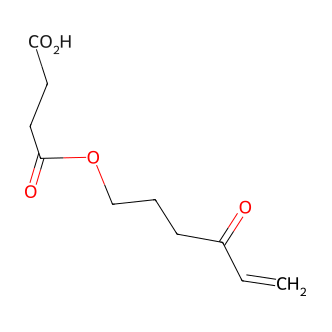 C=CC(=O)CCCOC(=O)CCC(=O)O